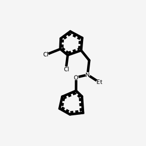 CCN(Cc1cccc(Cl)c1Cl)Oc1ccccc1